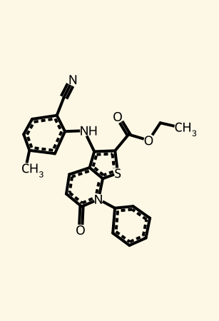 CCOC(=O)c1sc2c(ccc(=O)n2-c2ccccc2)c1Nc1cc(C)ccc1C#N